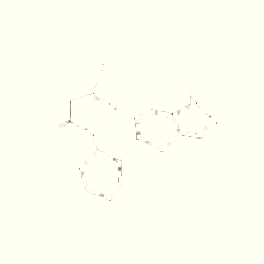 CC(=O)C1=NN(c2ccccc2-c2ccc3[nH]ncc3c2)C(=O)C1